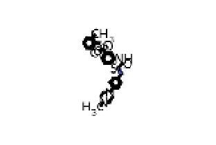 Cc1cccc(C)c1CS(=O)(=O)c1ccc2c(c1)NC(=O)/C(=C/c1ccc(N3CCN(C)CC3)cc1)S2